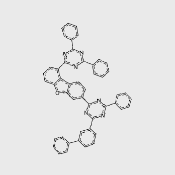 c1ccc(-c2cccc(-c3nc(-c4ccccc4)nc(-c4ccc5c(c4)oc4cccc(-c6nc(-c7ccccc7)nc(-c7ccccc7)n6)c45)n3)c2)cc1